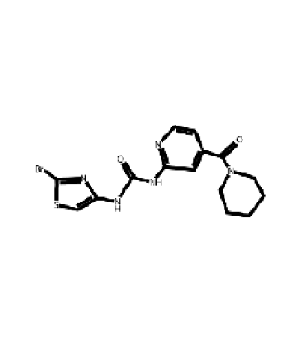 O=C(Nc1cc(C(=O)N2CCCCC2)ccn1)Nc1csc(Br)n1